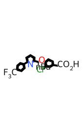 CCCC[C@H](Oc1ccc(CC(=O)O)cc1Cl)c1cccc(-c2ccc(C(F)(F)F)cc2)n1